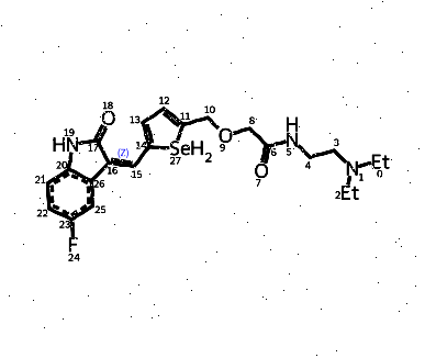 CCN(CC)CCNC(=O)COCC1=CC=C(/C=C2\C(=O)Nc3ccc(F)cc32)[SeH2]1